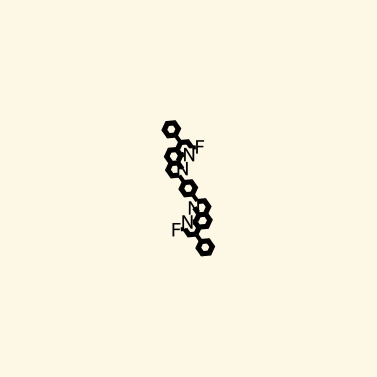 Fc1cc(-c2ccccc2)c2ccc3ccc(-c4ccc(-c5ccc6ccc7c(-c8ccccc8)cc(F)nc7c6n5)cc4)nc3c2n1